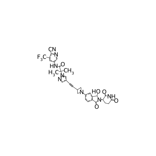 CC(C)(C(=O)Nc1cnc(C#N)c(C(F)(F)F)c1)n1cc(C#CC2CN(c3ccc4c(c3)C(O)N([C@@H]3CCC(=O)NC3=O)C4=O)C2)cn1